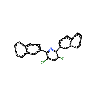 Clc1cc(Cl)c(-c2ccc3ccccc3c2)nc1-c1ccc2ccccc2c1